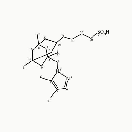 Cc1c(I)cnn1CC12CC3(C)CC(C)(CC(CCCCS(=O)(=O)O)(C3)C1)C2